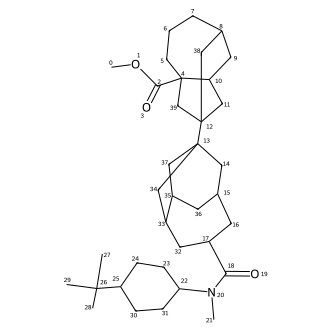 COC(=O)C12CCCC3CC1CC(C14CC5CC(C(=O)N(C)C6CCC(C(C)(C)C)CC6)CC(C1)C(C5)C4)(C3)C2